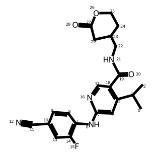 CC(C)c1cc(Nc2ccc(C#N)cc2F)ncc1C(=O)NCC1CCOC(=O)C1